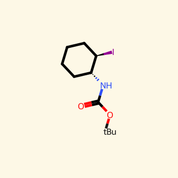 CC(C)(C)OC(=O)N[C@@H]1CCCC[C@H]1I